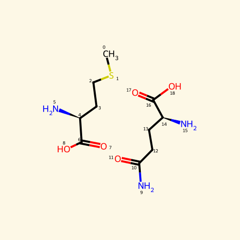 CSCC[C@H](N)C(=O)O.NC(=O)CC[C@H](N)C(=O)O